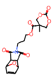 CC1(C(=O)OCCCN2C(=O)C3C4C=CC(O4)C3C2=O)COC(=O)OC1